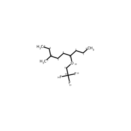 CCCC(CCC(C)CC)OCC(F)(F)F